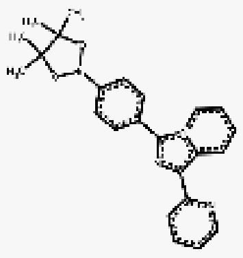 CC1(C)OB(c2ccc(-c3nc(-c4ccccn4)c4ccccn34)cc2)OC1(C)C